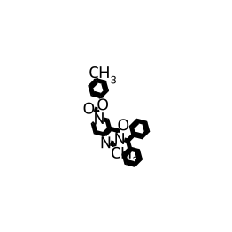 Cc1ccc(OC(=O)N2CCc3nc(C)n(C(c4ccccc4)c4ccccc4)c(=O)c3C2)cc1